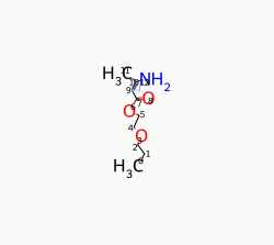 CCCOCCOC(=O)/C=C(/C)N